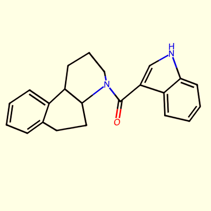 O=C(c1c[nH]c2ccccc12)N1CCCC2c3ccccc3CCC21